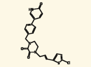 O=C1C(=O)N(Cc2ccc(-c3ccc(=O)[nH]c3)cc2)CCN1C/C=C/c1ccc(Cl)s1